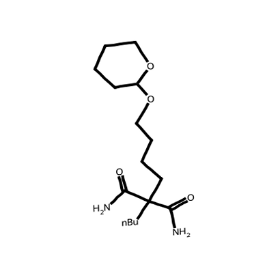 CCCCC(CCCCOC1CCCCO1)(C(N)=O)C(N)=O